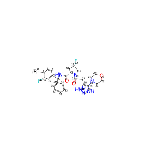 CC(C)c1ccc([C@@H](NC(=O)[C@@H]2C[C@@H](F)CN2C(=O)CC2=C(N3CCOCC3)NNN2)c2ccccc2)cc1F